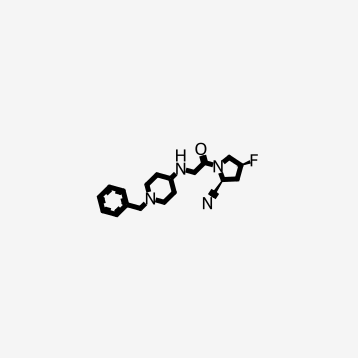 N#C[C@@H]1C[C@H](F)CN1C(=O)CNC1CCN(Cc2ccccc2)CC1